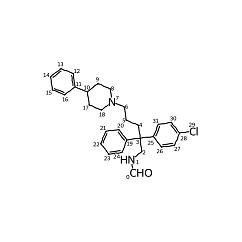 O=CNCC(CCCN1CCC(c2ccccc2)CC1)(c1ccccc1)c1ccc(Cl)cc1